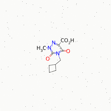 Cn1nc(C(=O)O)c(=O)n(CC2CCC2)c1=O